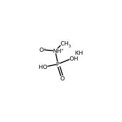 C[NH+]([O-])P(=O)(O)O.[KH]